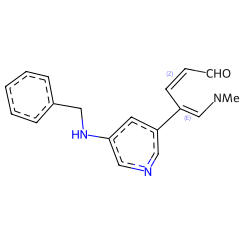 CN/C=C(\C=C/C=O)c1cncc(NCc2ccccc2)c1